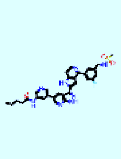 CCCCC(=O)Nc1cncc(-c2cnc3[nH]nc(-c4cc5c(-c6cc(F)cc(CNS(C)(=O)=O)c6)nccc5[nH]4)c3c2)c1